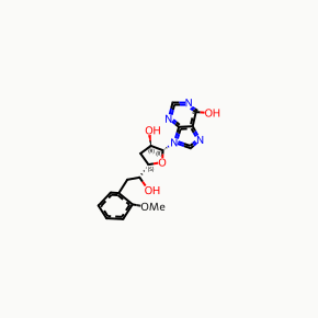 COc1ccccc1CC(O)[C@@H]1C[C@@H](O)[C@H](n2cnc3c(O)ncnc32)O1